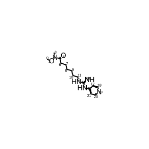 CON(C)C(=O)CCCCCCNC(=N)Nc1ccncc1